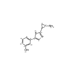 NC1CC1c1ncc(-c2cccc(O)c2)s1